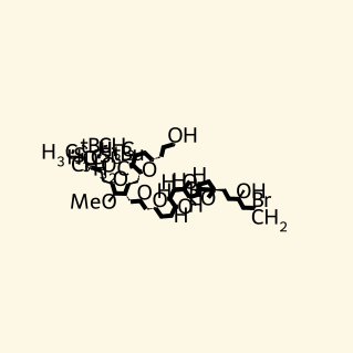 C=C(Br)C[C@H](O)CC[C@]12C[C@H]3O[C@H]4[C@@H](O1)[C@H]1O[C@@H](CC(=O)C[C@@H]5[C@@H](OC)[C@@H](C[C@@H](CO[Si](C)(C)C(C)(C)C)O[Si](C)(C)C(C)(C)C)O[C@H]5C[C@H]5O[C@@H](CCCO)C[C@@H](C)C5=C)CC[C@@H]1O[C@H]4[C@H]3O2